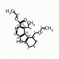 CCOCC1CCCc2[nH]c3cnc(C(=O)OCC)c(CC)c3c21